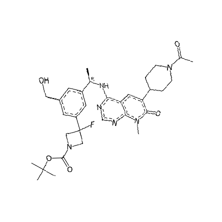 CC(=O)N1CCC(c2cc3c(N[C@H](C)c4cc(CO)cc(C5(F)CN(C(=O)OC(C)(C)C)C5)c4)ncnc3n(C)c2=O)CC1